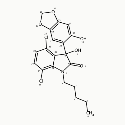 CCCCCN1C(=O)C(O)(c2cc3c(cc2O)OCO3)c2c(Cl)ccc(Cl)c21